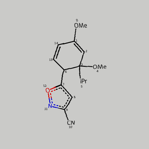 COC1=CC(OC)(C(C)C)C(c2cc(C#N)no2)C=C1